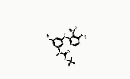 COc1cc(Nc2ncnc(N)c2[N+](=O)[O-])cc(N(C)C(=O)OC(C)(C)C)c1